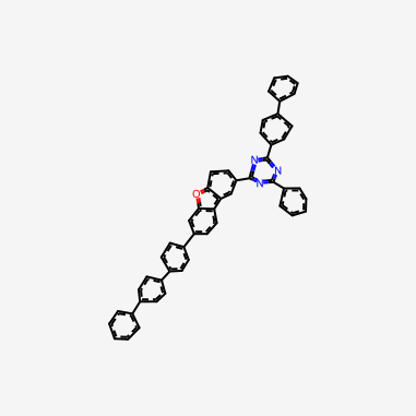 c1ccc(-c2ccc(-c3ccc(-c4ccc5c(c4)oc4ccc(-c6nc(-c7ccccc7)nc(-c7ccc(-c8ccccc8)cc7)n6)cc45)cc3)cc2)cc1